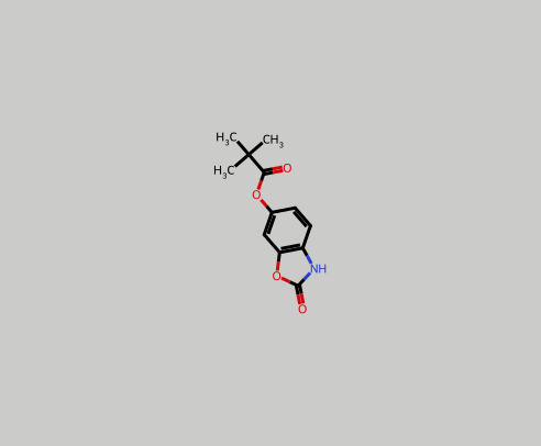 CC(C)(C)C(=O)Oc1ccc2[nH]c(=O)oc2c1